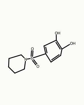 O=S(=O)(c1ccc(O)c(O)c1)N1CCCCC1